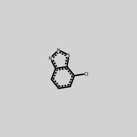 Clc1c[c]cc2nnsc12